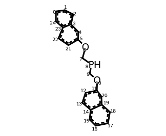 c1ccc2cc(OCPCOc3ccc4ccccc4c3)ccc2c1